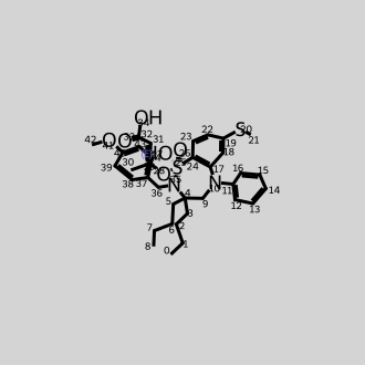 CCCCC1(CCCC)CN(c2ccccc2)c2cc(SC)ccc2S(=O)(O)(O/C(C)=C/C(=O)O)N1Cc1ccc(OC)cc1